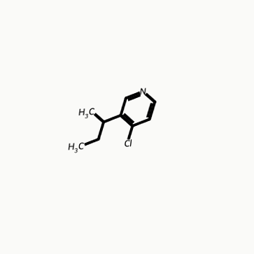 CCC(C)c1cnccc1Cl